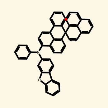 c1ccc(N(c2ccc3c(c2)oc2ccccc23)c2ccc3c4c(cccc24)C2(c4ccccc4-c4cccc5cccc2c45)c2ccccc2-3)cc1